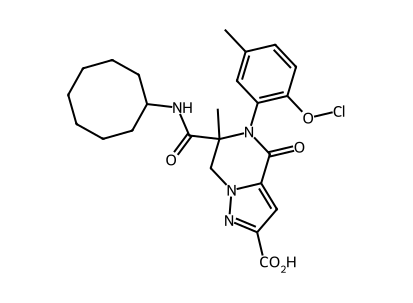 Cc1ccc(OCl)c(N2C(=O)c3cc(C(=O)O)nn3CC2(C)C(=O)NC2CCCCCCC2)c1